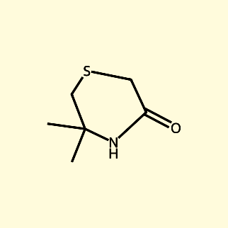 CC1(C)CSCC(=O)N1